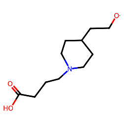 [O]CCC1CCN(CCCC(=O)O)CC1